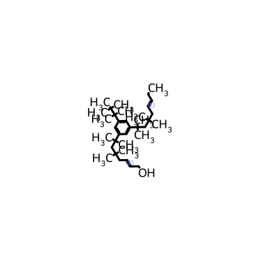 CC/C=C/CC(C)(C)CC(C)(C)c1cc(C(C)(C)CC(C)(C)C/C=C/CO)cc(C(C)(C)C(C)(C)C)c1